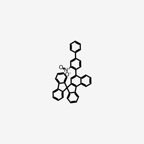 O=[N+]([O-])c1cc(-c2ccccc2)ccc1-c1cc2c(c3ccccc13)-c1ccccc1C21c2ccccc2-c2ccccc21